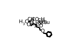 CC1(C)OCC(CCC(COCc2ccccc2)O[Si](C)(C)C(C)(C)C)N1C(=O)O